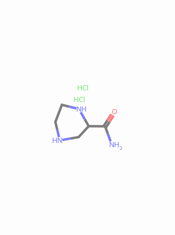 Cl.Cl.NC(=O)C1CNCCN1